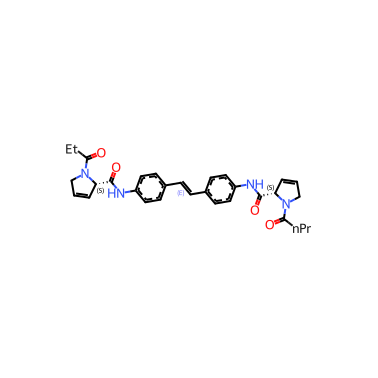 CCCC(=O)N1CC=C[C@H]1C(=O)Nc1ccc(/C=C/c2ccc(NC(=O)[C@@H]3C=CCN3C(=O)CC)cc2)cc1